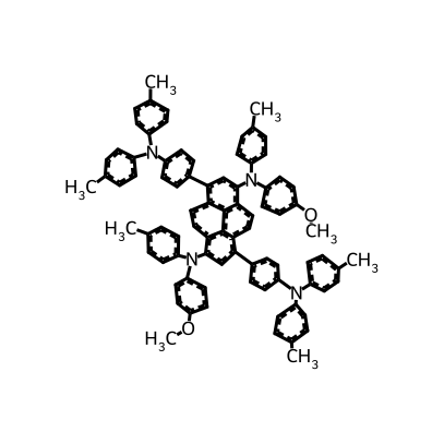 COc1ccc(N(c2ccc(C)cc2)c2cc(-c3ccc(N(c4ccc(C)cc4)c4ccc(C)cc4)cc3)c3ccc4c(N(c5ccc(C)cc5)c5ccc(OC)cc5)cc(-c5ccc(N(c6ccc(C)cc6)c6ccc(C)cc6)cc5)c5ccc2c3c54)cc1